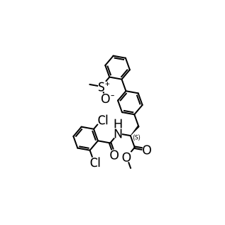 COC(=O)[C@H](Cc1ccc(-c2ccccc2[S+](C)[O-])cc1)NC(=O)c1c(Cl)cccc1Cl